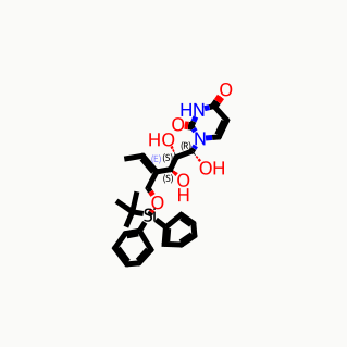 C/C=C(\CO[Si](c1ccccc1)(c1ccccc1)C(C)(C)C)[C@H](O)[C@H](O)[C@@H](O)n1ccc(=O)[nH]c1=O